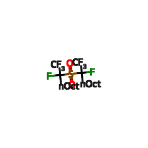 CCCCCCCCC(F)(C(F)(F)F)S(=O)(=O)C(F)(CCCCCCCC)C(F)(F)F